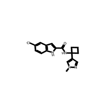 Cn1cc(C2(NC(=O)c3cc4cc(Cl)ccc4[nH]3)CCC2)cn1